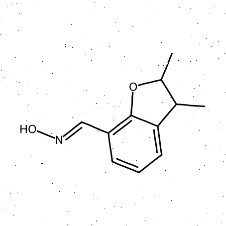 CC1Oc2c(C=NO)cccc2C1C